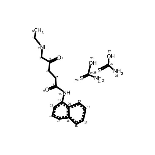 CCNCC(=O)CCC(=O)Nc1cccc2ccccc12.NC(O)=S.NC(O)=S